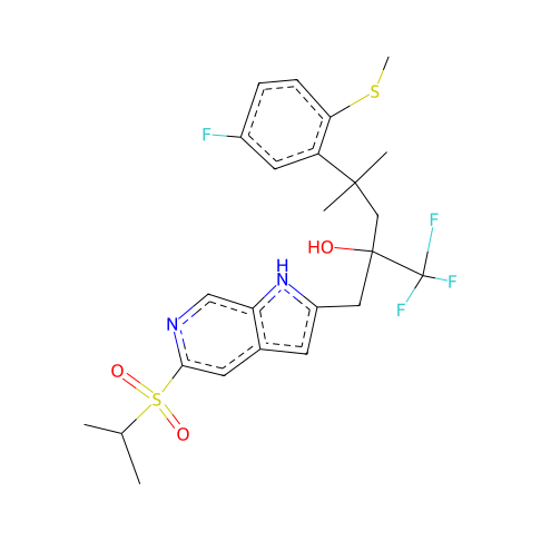 CSc1ccc(F)cc1C(C)(C)CC(O)(Cc1cc2cc(S(=O)(=O)C(C)C)ncc2[nH]1)C(F)(F)F